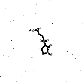 COC(=O)CCS(=O)(=O)C1CCN(C(C)C)C1=O